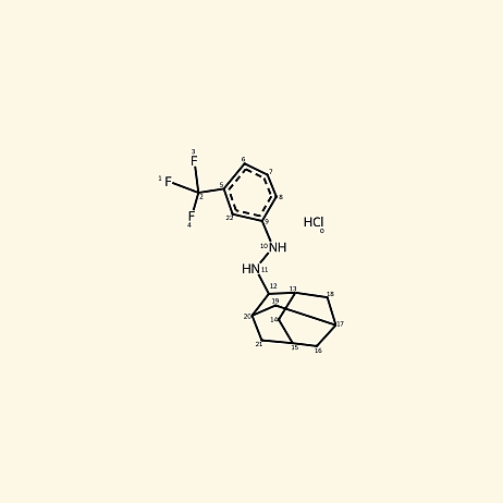 Cl.FC(F)(F)c1cccc(NNC2C3CC4CC(C3)CC2C4)c1